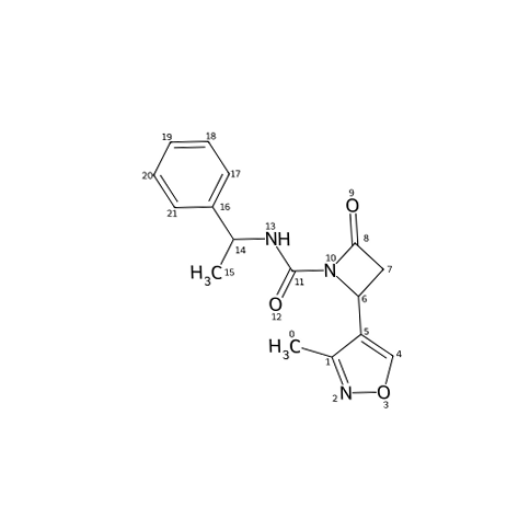 Cc1nocc1C1CC(=O)N1C(=O)NC(C)c1ccccc1